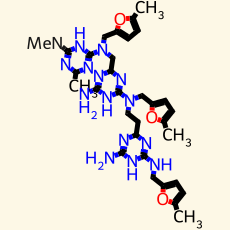 CNC1=NC(C)N=C(N(Cc2ccc(C)o2)CC2N=C(N)NC(N(CCC3N=C(N)NC(NCc4ccc(C)o4)=N3)Cc3ccc(C)o3)=N2)N1